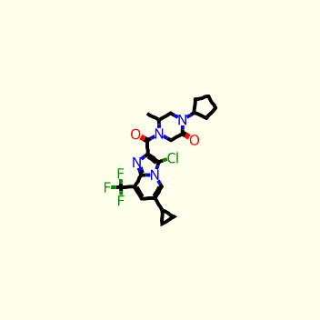 CC1CN(C2CCCC2)C(=O)CN1C(=O)c1nc2c(C(F)(F)F)cc(C3CC3)cn2c1Cl